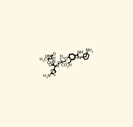 CC1(C)NC(=O)[C@H]1NC(=O)/C(=N\O[C@](C)(C(=O)O)[C@H]1CCc2cc(C(=N)NC34CCCC(N)(C3)C4)ccc2O1)c1csc(N)n1